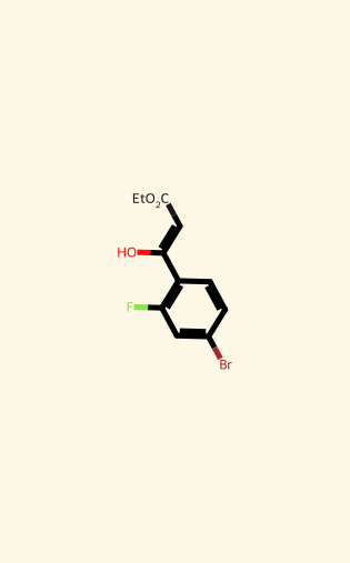 CCOC(=O)/C=C(\O)c1ccc(Br)cc1F